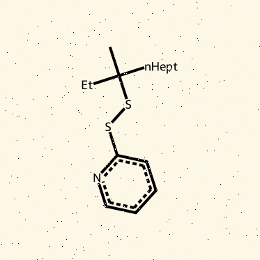 CCCCCCCC(C)(CC)SSc1ccccn1